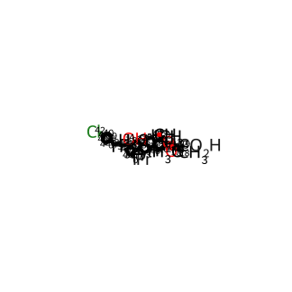 CC(C)C1=C2[C@H]3CC[C@@H]4[C@@]5(C)CC[C@H](OC(=O)CC(C)(C)C(=O)O)C(C)(C)[C@@H]5CC[C@@]4(C)[C@]3(C)CC[C@@]2([C@H](O)CCCc2ccc(Cl)cc2)CC1